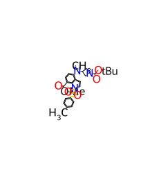 COC(=O)c1ccc(N(C)C2CN(C(=O)OC(C)(C)C)C2)c2ccn(S(=O)(=O)c3ccc(C)cc3)c12